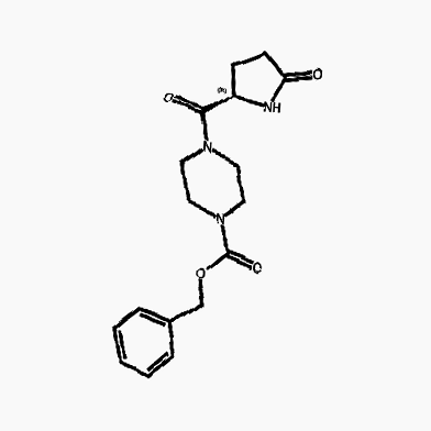 O=C1CC[C@H](C(=O)N2CCN(C(=O)OCc3ccccc3)CC2)N1